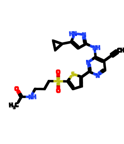 C#Cc1cnc(-c2ccc(S(=O)(=O)CCCNC(C)=O)s2)nc1Nc1cc(C2CC2)[nH]n1